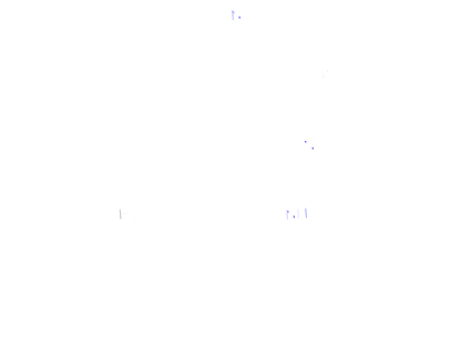 CCCc1cc(C#N)c(Cl)nc1Nc1cccc2c1CCC2